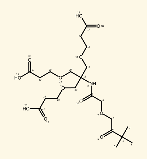 CC(C)(C)C(=O)COCC(=O)NC(COCCC(=O)O)(COCCC(=O)O)COCCC(=O)O